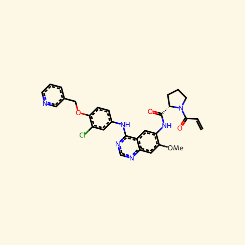 C=CC(=O)N1CCC[C@H]1C(=O)Nc1cc2c(Nc3ccc(OCc4cccnc4)c(Cl)c3)ncnc2cc1OC